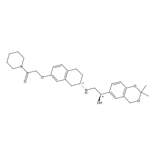 CC1(C)OCc2cc([C@@H](O)CN[C@H]3CCc4ccc(OCC(=O)N5CCCCC5)cc4C3)ccc2O1